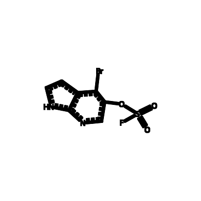 O=S(=O)(F)Oc1cnc2[nH]ccc2c1Br